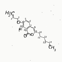 C=CCOc1ccc2cc(CCCCCC)oc(=O)c2c1F